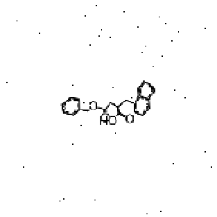 O=C(CC(Cc1cccc2ccccc12)C(=O)O)OCc1ccccc1